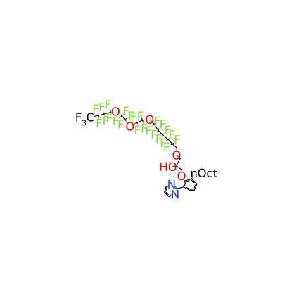 CCCCCCCCc1cccc(-c2ncccn2)c1OCC(O)COCC(F)(F)C(F)(F)C(F)(F)C(F)(F)C(F)(F)OC(F)(F)C(F)(F)OC(F)(F)C(F)(F)OC(F)(F)C(F)(F)C(F)(F)C(F)(F)F